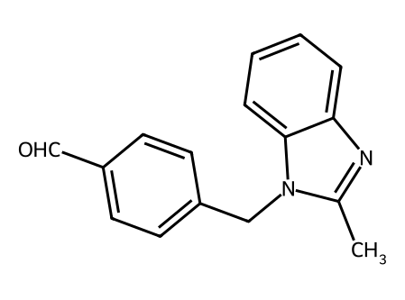 Cc1nc2ccccc2n1Cc1ccc(C=O)cc1